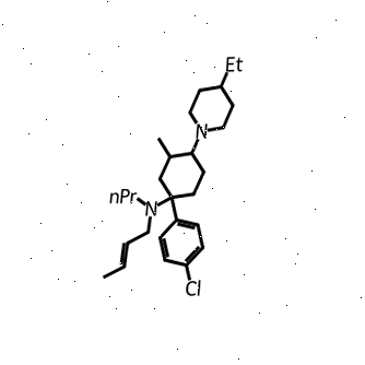 CC=CCN(CCC)C1(c2ccc(Cl)cc2)CCC(N2CCC(CC)CC2)C(C)C1